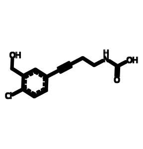 O=C(O)NCCC#Cc1ccc(Cl)c(CO)c1